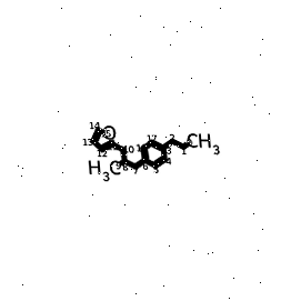 CCCc1ccc(CC(C)Cc2ccco2)cc1